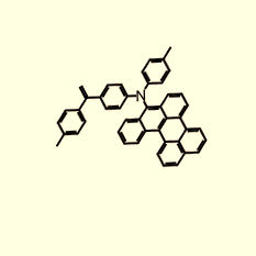 C=C(c1ccc(C)cc1)c1ccc(N(c2ccc(C)cc2)c2c3ccccc3c3c4cccc5cccc(c6cccc2c63)c54)cc1